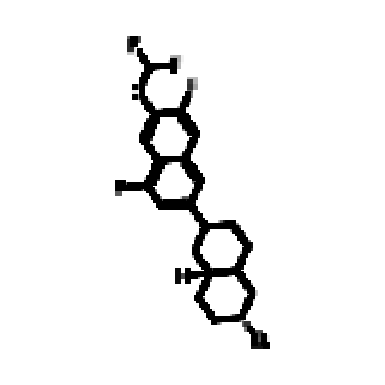 CC[C@@H]1CC[C@@H]2CC(c3cc(F)c4cc(OC(F)F)c(F)cc4c3)CCC2C1